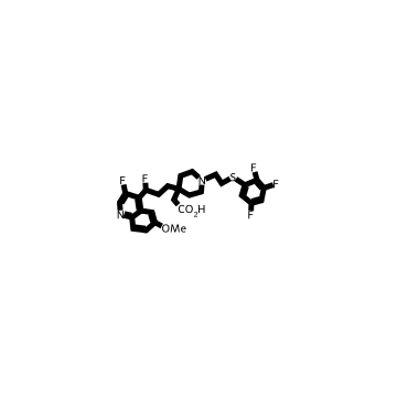 COc1ccc2ncc(F)c(C(F)CCC3(CC(=O)O)CCN(CCSc4cc(F)cc(F)c4F)CC3)c2c1